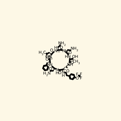 CC(C)C[C@@H]1NC(=O)[C@@H](Cc2ccccc2)NC(=O)[C@H](CCN)NC(=O)[C@@H](NC(=O)Cc2ccc(OC(F)(F)F)cc2)CCNC(=O)[C@H]([C@@H](C)O)NC(=O)[C@H](CCN)NC(=O)[C@H](CCN)NC1=O